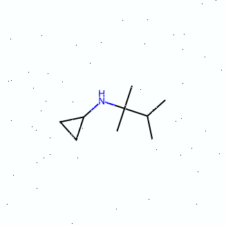 CC(C)C(C)(C)NC1CC1